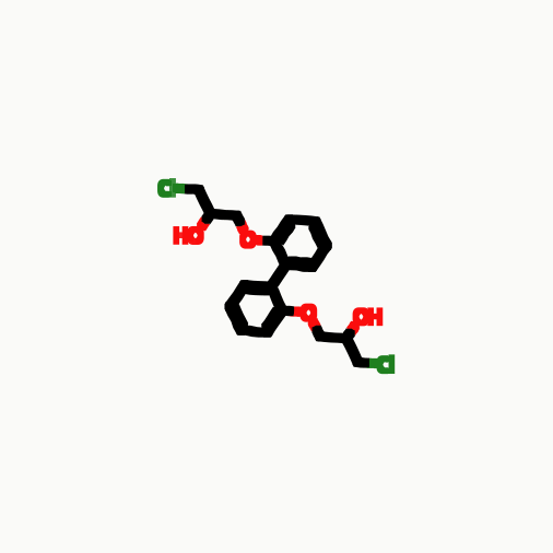 OC(CCl)COc1ccccc1-c1ccccc1OCC(O)CCl